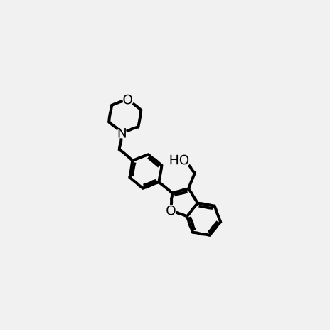 OCc1c(-c2ccc(CN3CCOCC3)cc2)oc2ccccc12